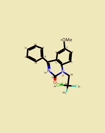 COc1ccc2c(c1)c(-c1ccccc1)nc(=O)n2CC(F)(F)Cl